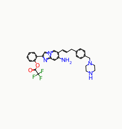 Nc1cc2nc(-c3ccccc3OC(=O)C(F)(F)F)cn2cc1/C=C/Cc1ccc(CN2CCNCC2)cc1